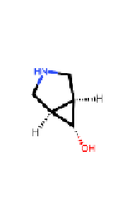 O[C@@H]1[C@H]2CNC[C@@H]12